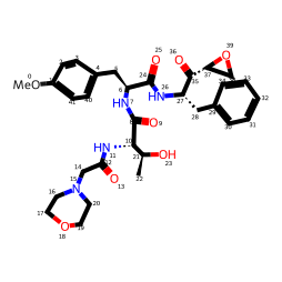 COc1ccc(C[C@H](NC(=O)[C@@H](NC(=O)CN2CCOCC2)[C@H](C)O)C(=O)N[C@@H](Cc2ccccc2)C(=O)[C@H]2CO2)cc1